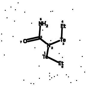 CC[Te]N([Te]CC)C(N)=O